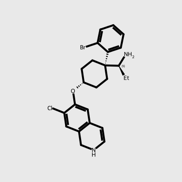 CC[C@H](N)[C@]1(c2ccccc2Br)CC[C@@H](Oc2cc3c(cc2Cl)CNC=C3)CC1